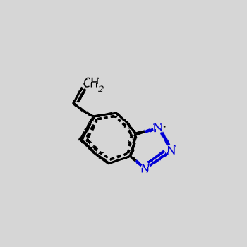 C=Cc1ccc2c(c1)[N]N=N2